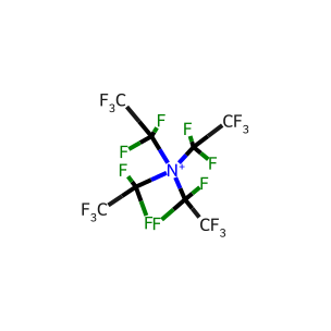 FC(F)(F)C(F)(F)[N+](C(F)(F)C(F)(F)F)(C(F)(F)C(F)(F)F)C(F)(F)C(F)(F)F